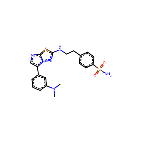 CN(C)c1cccc(-c2cnc3sc(NCCc4ccc(S(N)(=O)=O)cc4)nn23)c1